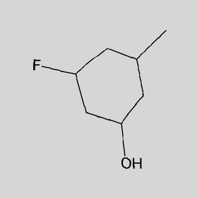 CC1CC(O)CC(F)C1